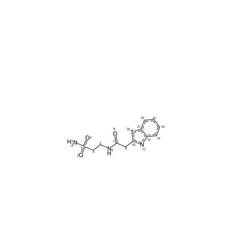 NS(=O)(=O)CCNC(=O)Cc1nc2ccccc2s1